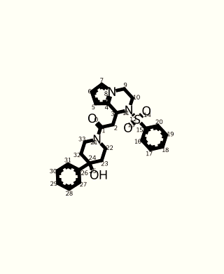 O=C(CC1c2cccn2CCN1S(=O)(=O)c1ccccc1)N1CCC(O)(c2ccccc2)CC1